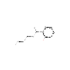 CC=CCCC(C)c1ccccc1O